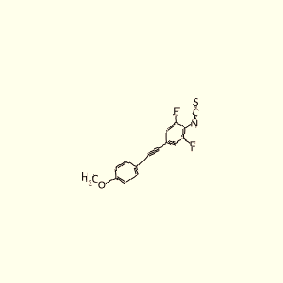 COc1ccc(C#Cc2cc(F)c(N=C=S)c(F)c2)cc1